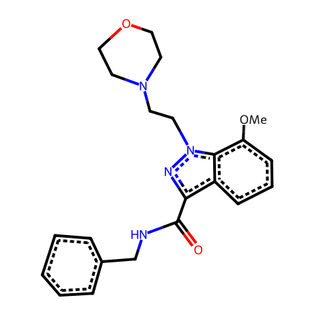 COc1cccc2c(C(=O)NCc3ccccc3)nn(CCN3CCOCC3)c12